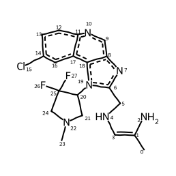 C/C(N)=C/NCc1nc2cnc3ccc(Cl)cc3c2n1C1CN(C)CC1(F)F